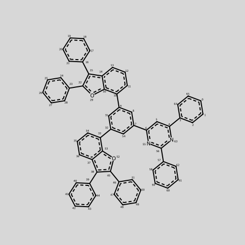 c1ccc(-c2cc(-c3cc(-c4cccc5c(-c6ccccc6)c(-c6ccccc6)oc45)cc(-c4cccc5c(-c6ccccc6)c(-c6ccccc6)oc45)c3)nc(-c3ccccc3)n2)cc1